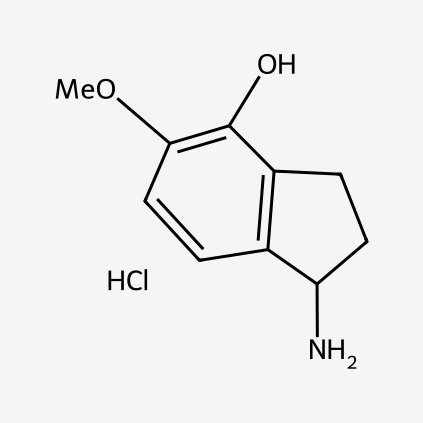 COc1ccc2c(c1O)CCC2N.Cl